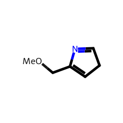 COCC1=CCC=N1